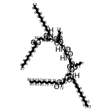 C=CCOP(=O)(OCCNC(=O)CC(=O)NCCOP(=O)(OCC=C)OC[C@@H](COCC[C@@H](C)OC(=O)CCCCCCCCCCC)NC(=O)CCCCCCCCCCCCC)OC[C@@H](COCC[C@@H](C)OC(=O)CCCCCCCCCCC)NC(=O)CCCCCCCCCCCCC